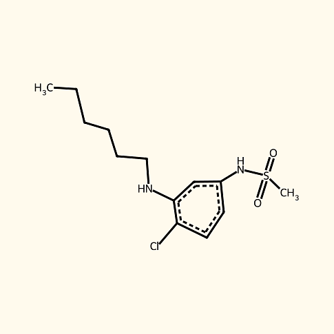 CCCCCCNc1cc(NS(C)(=O)=O)ccc1Cl